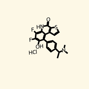 CC(c1ccc(-c2c(O)c(F)c(F)c3[nH]c(=O)c4sccc4c23)cc1)N(C)C.Cl